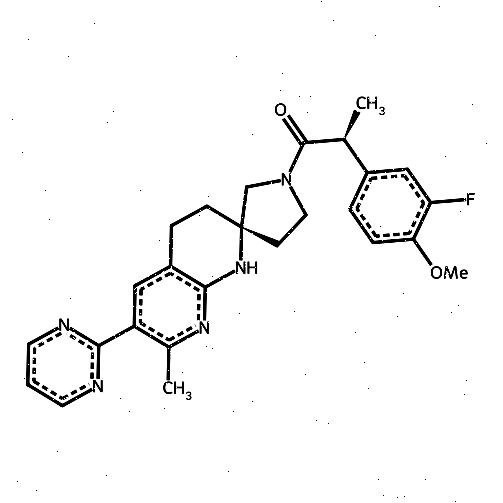 COc1ccc([C@H](C)C(=O)N2CC[C@@]3(CCc4cc(-c5ncccn5)c(C)nc4N3)C2)cc1F